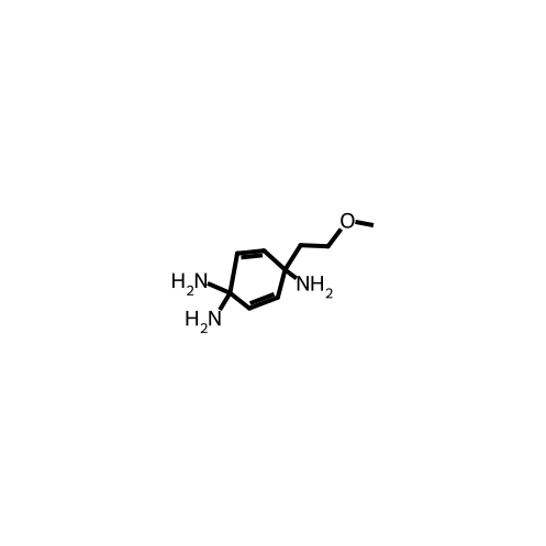 COCCC1(N)C=CC(N)(N)C=C1